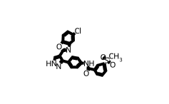 CS(=O)(=O)c1cccc(C(=O)Nc2ccc(-c3n[nH]cc3-c3nc4cc(Cl)ccc4o3)cc2)c1